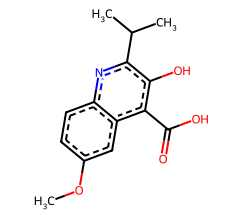 COc1ccc2nc(C(C)C)c(O)c(C(=O)O)c2c1